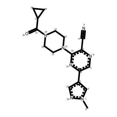 Cn1cc(-c2cnc(C#N)c(N3CCN(C(=O)C4CC4)CC3)n2)cn1